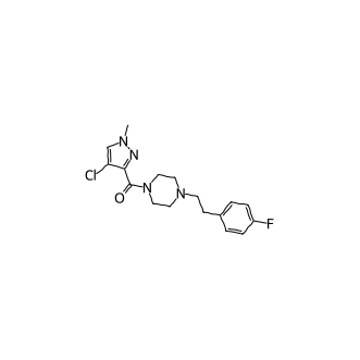 Cn1cc(Cl)c(C(=O)N2CCN(CCc3ccc(F)cc3)CC2)n1